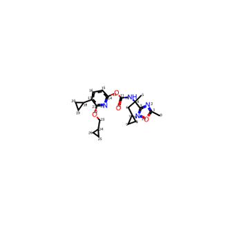 Cc1nc(C(C)(CC2CC2)NC(=O)Oc2ccc(C3CC3)c(OCC3CC3)n2)no1